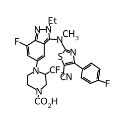 CCn1nc2c(F)cc(N3CCN(C(=O)O)CC3C(F)(F)F)cc2c1N(C)c1nc(-c2ccc(F)cc2)c(C#N)s1